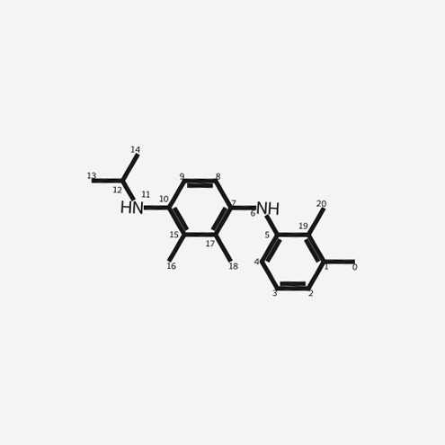 Cc1cccc(Nc2ccc(NC(C)C)c(C)c2C)c1C